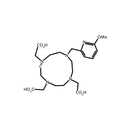 COc1cccc(CN2CCN(CC(=O)O)CCN(CC(=O)O)CCN(CC(=O)O)CC2)n1